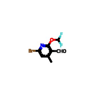 Cc1cc(Br)nc(OC(F)F)c1C=O